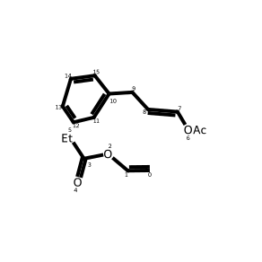 C=COC(=O)CC.CC(=O)OC=CCc1ccccc1